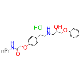 CCCNC(=O)COc1ccc(CCNCC(O)COc2ccccc2)cc1.Cl